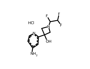 Cl.Nc1ccnc(C2(O)CN(C(F)C(F)F)C2)c1